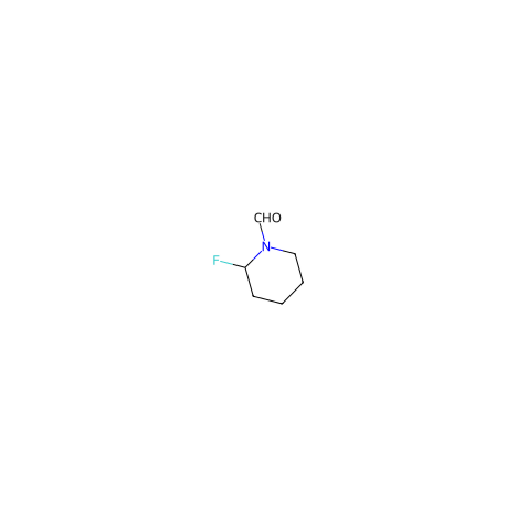 O=CN1CCCCC1F